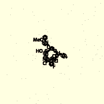 COc1ccccc1-c1nccc(COc2ccc3cc2C[C@H](C(=O)O)Oc2ncnc4c(Cl)c(-c5ccc(F)cc5)n(c24)-c2c(C)c(Cl)c(c(Cl)c2C)O[C@H](CCN2CCN(C)CC2)CO3)n1